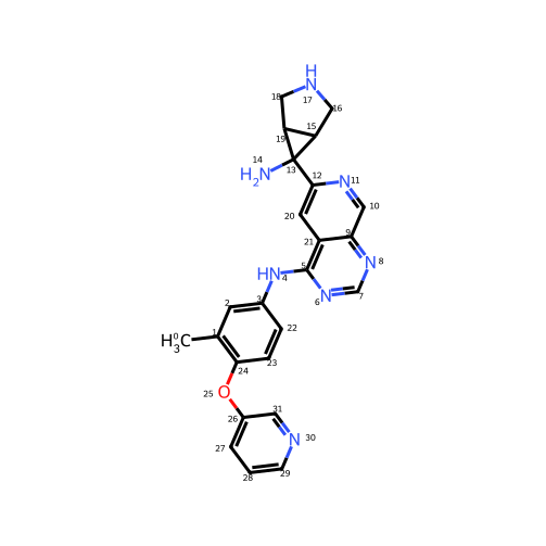 Cc1cc(Nc2ncnc3cnc(C4(N)C5CNCC54)cc23)ccc1Oc1cccnc1